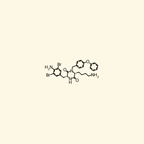 NCCCC[C@H]1C(=O)N[C@@H](Cc2cc(Br)c(N)c(Br)c2)C(=O)N1Cc1ccc(Oc2ccccc2)cc1